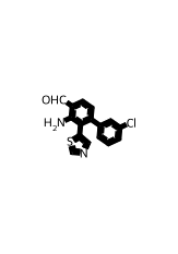 Nc1c(C=O)ccc(-c2cccc(Cl)c2)c1-c1cncs1